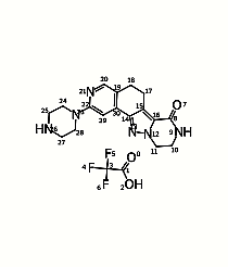 O=C(O)C(F)(F)F.O=C1NCCn2nc3c(c21)CCc1cnc(N2CCNCC2)cc1-3